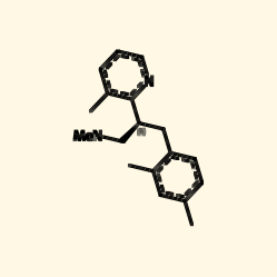 CNC[C@H](Cc1ccc(C)cc1C)c1ncccc1C